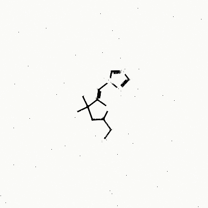 CC1(C)CC(CBr)OC1=Cn1cncn1